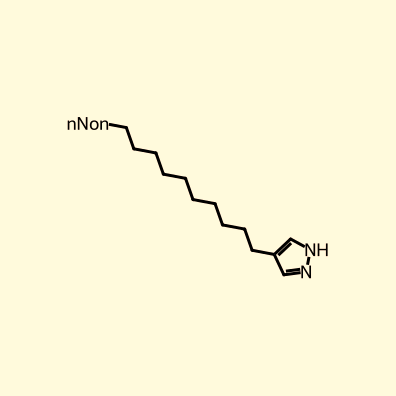 CCCCCCCCCCCCCCCCCCCc1cn[nH]c1